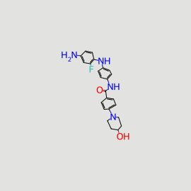 Nc1ccc(Nc2ccc(NC(=O)c3ccc(N4CCC(O)CC4)cc3)cc2)c(F)c1